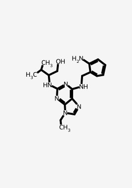 CCn1cnc2c(NCc3ccccc3N)nc(NC(CO)C(C)C)nc21